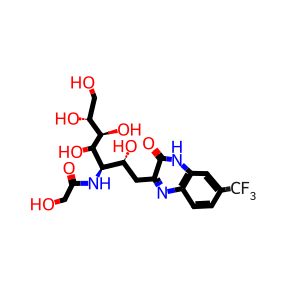 O=C(CO)N[C@@H](C(O)[C@H](O)[C@H](O)CO)[C@H](O)Cc1nc2ccc(C(F)(F)F)cc2[nH]c1=O